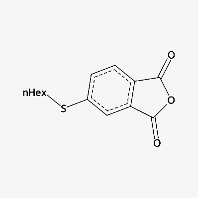 CCCCCCSc1ccc2c(c1)C(=O)OC2=O